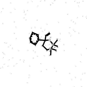 C=CC1(c2ccccc2)CC[Si](C)(C)[Si](C)(C)O1